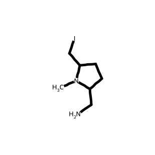 CN1C(CN)CCC1CI